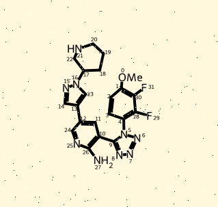 COc1ccc(-n2nnnc2-c2cc(-c3cnn(C4CCCNC4)c3)cnc2N)c(F)c1F